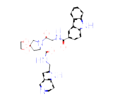 O=C(NCC(=O)N1CC2(C[C@H]1C(=O)NCc1cc3cnccc3[nH]1)OCCO2)c1ccc2[nH]c3ccccc3c2c1